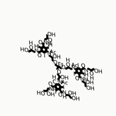 CCC(COCC(O)CN(C(C)=O)c1c(C)c(C(=O)NCC(O)CO)c(I)c(C(=O)NCC(O)CO)c1I)(COCC(O)CN(C(C)=O)c1c(I)c(C(=O)NCC(O)CO)c(I)c(C(=O)NCC(O)CO)c1I)COCC(O)CN(C(C)=O)c1c(I)c(C(=O)NCC(O)CO)c(I)c(C(=O)NCC(O)CO)c1I